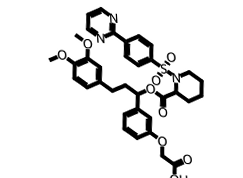 COc1ccc(CCC(OC(=O)C2CCCCN2S(=O)(=O)c2ccc(-c3ncccn3)cc2)c2cccc(OCC(=O)O)c2)cc1OC